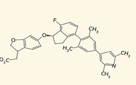 Cc1cc(-c2cc(C)c(-c3ccc(F)c4c3CC[C@H]4Oc3ccc4c(c3)OCC4CC(=O)O)c(C)c2)cc(C)n1